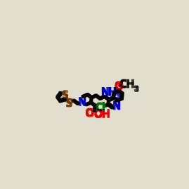 COc1ccc2ncc(Cl)c(C(N)CCC3CCN(CCSc4cccs4)CC3CC(=O)O)c2c1